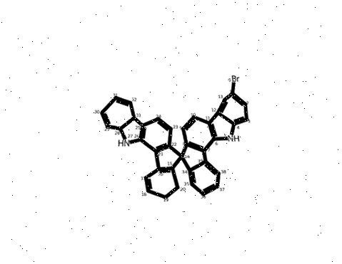 Brc1ccc2[nH]c3c4c(ccc3c2c1)C1(C2=C(C=CCC2)c2c1ccc1c2NC2C=CC=CC12)c1ccccc1-4